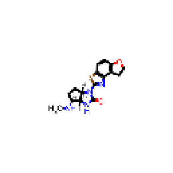 CN[C@H]1CC[C@H]2[C@@H]1NC(=O)N2c1nc2c3c(ccc2s1)OCC3